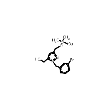 CC(C)(C)[Si](C)(C)OCc1cc(CO)n(Cc2cccc(Br)c2)n1